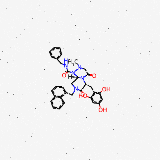 CN1CC(=O)N2[C@@H](Cc3c(O)cc(O)cc3O)C(=O)N(Cc3cccc4ccccc34)C[C@@H]2N1C(=O)NCc1ccccc1